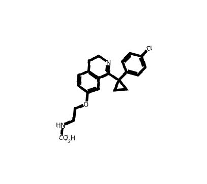 O=C(O)NCCOc1ccc2c(c1)C(C1(c3ccc(Cl)cc3)CC1)=NCC2